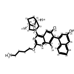 NCCCCOc1nc(N2C[C@H]3CC[C@@H](C2)N3)c2cc(Cl)c(-c3cc(O)cc4ccccc34)c(F)c2n1